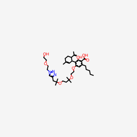 C=C(C)C1CCC(C)=CC1c1c(OCCOC(C)(C)CCOC(C)(C)Cc2cn(CCOCCO)nn2)cc(CCCCC)c(C(=O)O)c1O